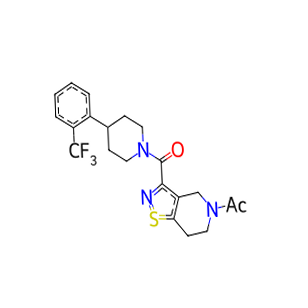 CC(=O)N1CCc2snc(C(=O)N3CCC(c4ccccc4C(F)(F)F)CC3)c2C1